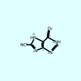 N#Cc1nc2nc[nH]c(=O)c2[nH]1